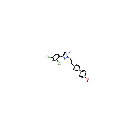 COc1ccc(-c2ccc(C=Cc3nc(-c4ccc(Cl)cc4Cl)cn3C)cc2)cc1